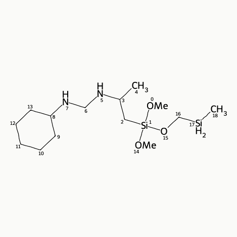 CO[Si](CC(C)NCNC1CCCCC1)(OC)OC[SiH2]C